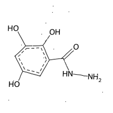 NNC(=O)c1cc(O)cc(O)c1O